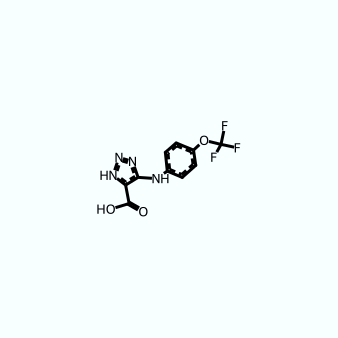 O=C(O)c1[nH]nnc1Nc1ccc(OC(F)(F)F)cc1